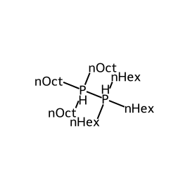 CCCCCCCC[PH](CCCCCCCC)(CCCCCCCC)[PH](CCCCCC)(CCCCCC)CCCCCC